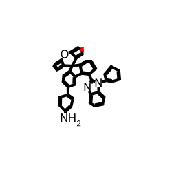 Nc1ccc(-c2ccc3c(c2)-c2c(-c4nc5ccccc5n4-c4ccccc4)cccc2C32c3ccccc3Oc3ccccc32)cc1